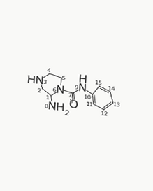 NC1CNCCN1C(=O)Nc1ccccc1